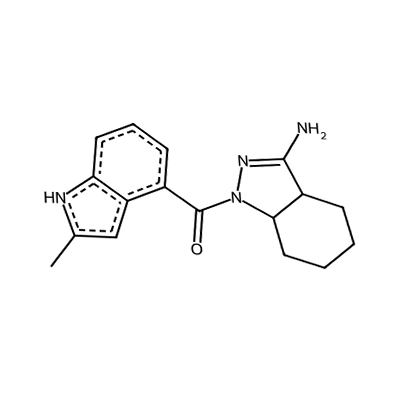 Cc1cc2c(C(=O)N3N=C(N)C4CCCCC43)cccc2[nH]1